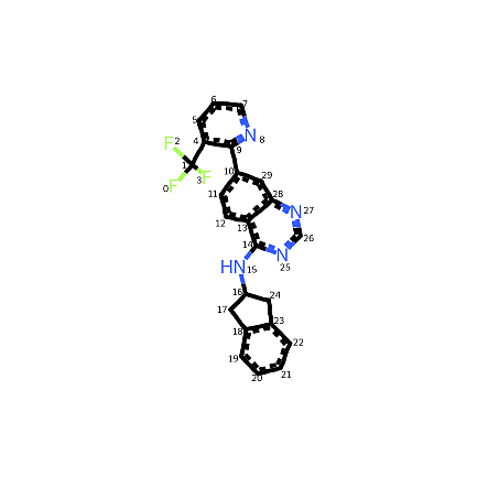 FC(F)(F)c1cccnc1-c1ccc2c(NC3Cc4ccccc4C3)ncnc2c1